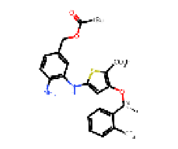 C[C@@H](Oc1cc(Nc2cc(COC(=O)C(C)(C)C)ccc2N)sc1C(=O)O)c1ccccc1C(F)(F)F